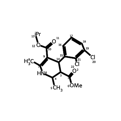 COC(=O)C1C(C)NC(C)=C(C(=O)OC(C)C)C1c1cccc(Cl)c1Cl